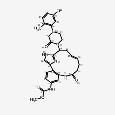 COC(=O)Nc1ccc2c(c1)NC(=O)CC/C=C/C[C@H](N1CCN(c3cc(Cl)ccc3C)CC1=O)c1nc-2c[nH]1